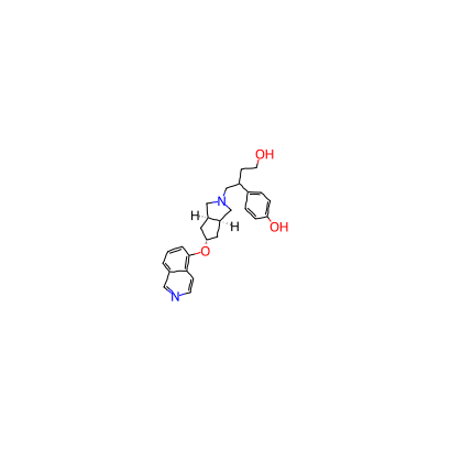 OCCC(CN1C[C@H]2C[C@H](Oc3cccc4cnccc34)C[C@H]2C1)c1ccc(O)cc1